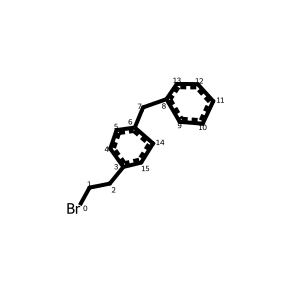 BrCCc1ccc([CH]c2ccccc2)cc1